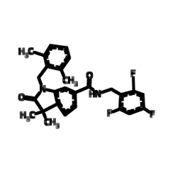 Cc1cccc(C)c1CN1C(=O)C(C)(C)c2ccc(C(=O)NCc3c(F)cc(F)cc3F)cc21